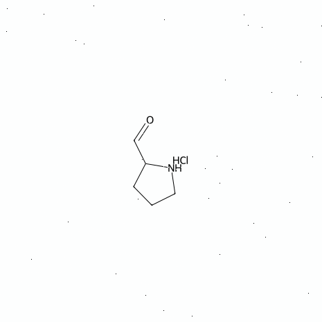 Cl.O=CC1CCCN1